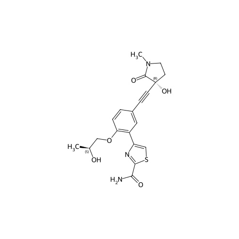 C[C@H](O)COc1ccc(C#C[C@]2(O)CCN(C)C2=O)cc1-c1csc(C(N)=O)n1